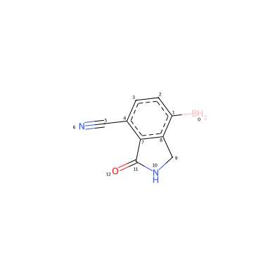 Bc1ccc(C#N)c2c1CNC2=O